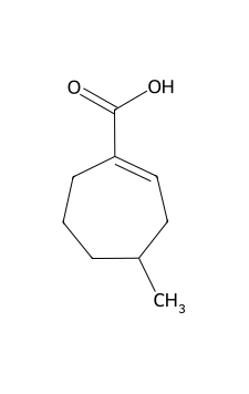 CC1CC=C(C(=O)O)CCC1